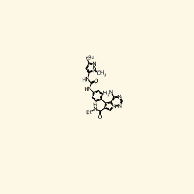 CCNC(=O)c1cn2ncnc(N)c2c1-c1ccc(NC(=O)Nc2cc(C(C)(C)C)nn2C)cc1